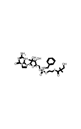 CC(C)(CO)C(=O)SCCOP(=O)(NCc1ccccc1)OC[C@H]1O[C@@H](N2C=CN3C(=O)N=C(N)NC32)C(C)(O)[C@H]1O